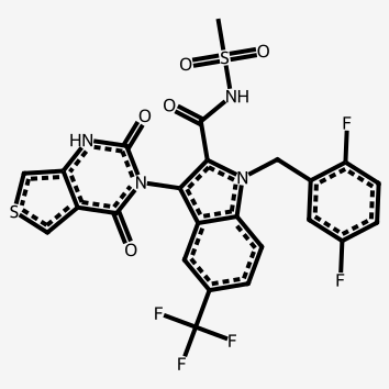 CS(=O)(=O)NC(=O)c1c(-n2c(=O)[nH]c3cscc3c2=O)c2cc(C(F)(F)F)ccc2n1Cc1cc(F)ccc1F